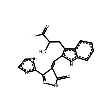 NC(Cc1c(C=C2C(=O)NN=C2c2ncc[nH]2)[nH]c2ccccc12)C(=O)O